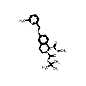 COC(=O)[C@H]1c2ccc(OCc3cccc(C)n3)cc2CCN1C(=O)OC(C)(C)C